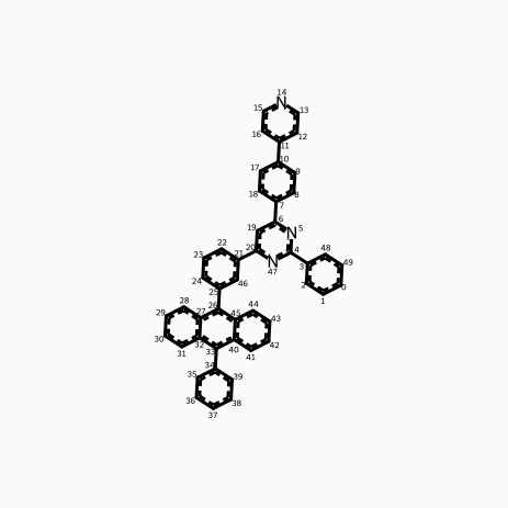 c1ccc(-c2nc(-c3ccc(-c4ccncc4)cc3)cc(-c3cccc(-c4c5ccccc5c(-c5ccccc5)c5ccccc45)c3)n2)cc1